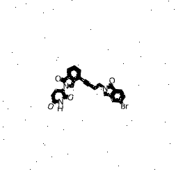 O=C1CCC(N2Cc3c(C#CCCN4Cc5cc(Br)ccc5C4=O)cccc3C2=O)C(=O)N1